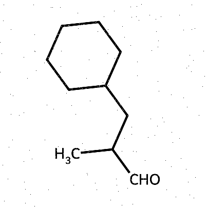 CC(C=O)CC1CCCCC1